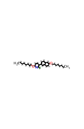 CCCCCCCCOc1ccc2cc(-c3ccc(OCCCCCCCC)nc3F)ccc2c1